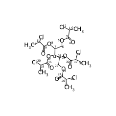 CC(Cl)C(=O)OCC(OC(=O)C(C)Cl)C(OC(=O)C(C)Cl)C(COC(=O)C(C)Cl)OC(=O)C(C)Cl